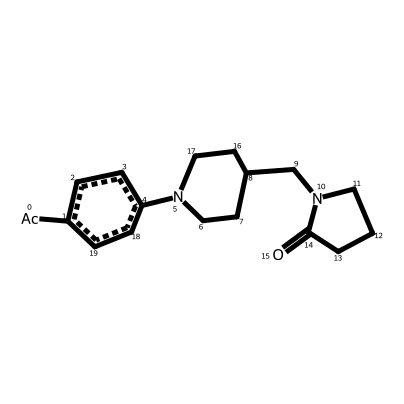 CC(=O)c1ccc(N2CCC(CN3CCCC3=O)CC2)cc1